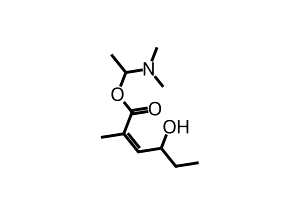 CCC(O)C=C(C)C(=O)OC(C)N(C)C